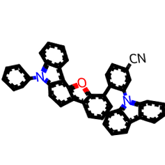 N#Cc1ccc(-c2cccc3c2oc2c3ccc3c2c2ccccc2n3-c2ccccc2)c(-n2c3ccccc3c3ccccc32)c1